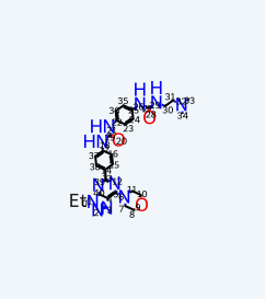 CCn1nnc2c(N3CCOCC3)nc(-c3ccc(NC(=O)Nc4ccc(NC(=O)NCCN(C)C)cc4)cc3)nc21